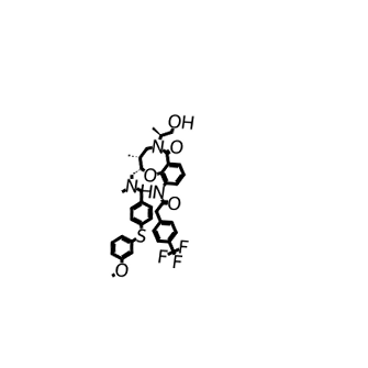 COc1cccc(Sc2ccc(CN(C)C[C@H]3Oc4c(NC(=O)Cc5ccc(C(F)(F)F)cc5)cccc4C(=O)N([C@@H](C)CO)C[C@H]3C)cc2)c1